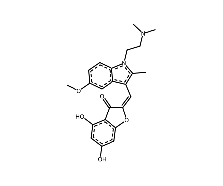 COc1ccc2c(c1)c(C=C1Oc3cc(O)cc(O)c3C1=O)c(C)n2CCN(C)C